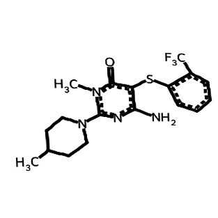 CC1CCN(c2nc(N)c(Sc3ccccc3C(F)(F)F)c(=O)n2C)CC1